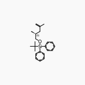 C=C(C)C[C@H](C)CO[Si](c1ccccc1)(c1ccccc1)C(C)(C)C